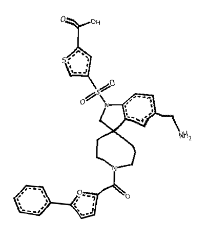 NCc1ccc2c(c1)C1(CCN(C(=O)c3ccc(-c4ccccc4)o3)CC1)CN2S(=O)(=O)c1csc(C(=O)O)c1